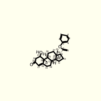 C=C(Oc1ccccc1)[C@@H]1CC[C@H]2[C@@H]3CCC4=CC(=O)CC(O)[C@]4(C)[C@H]3CC[C@]12C